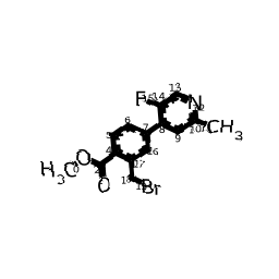 COC(=O)c1ccc(-c2cc(C)ncc2F)cc1CBr